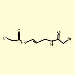 O=C(CBr)NC=CCNC(=O)CBr